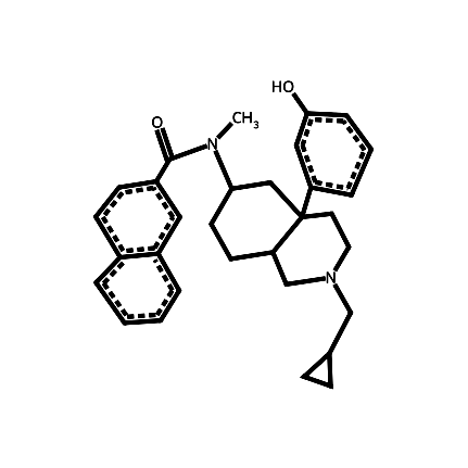 CN(C(=O)c1ccc2ccccc2c1)C1CCC2CN(CC3CC3)CCC2(c2cccc(O)c2)C1